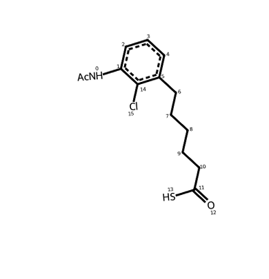 CC(=O)Nc1cccc(CCCCCC(=O)S)c1Cl